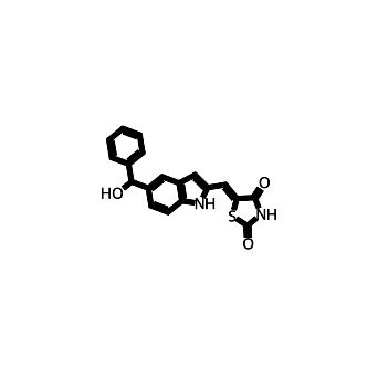 O=C1NC(=O)C(=Cc2cc3cc(C(O)c4ccccc4)ccc3[nH]2)S1